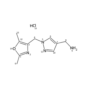 Cc1nc(Cn2cc(CN)cn2)c(C)o1.Cl